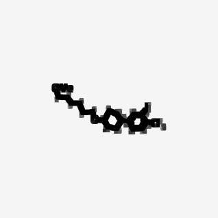 COCCCCCCOC1CCC(c2ccc(C(F)(F)F)c(F)c2)CC1